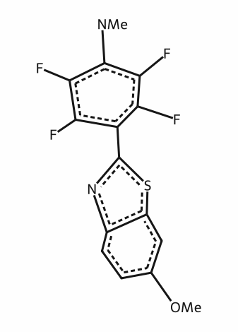 CNc1c(F)c(F)c(-c2nc3ccc(OC)cc3s2)c(F)c1F